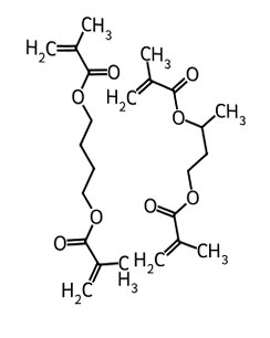 C=C(C)C(=O)OCCC(C)OC(=O)C(=C)C.C=C(C)C(=O)OCCCCOC(=O)C(=C)C